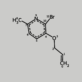 C=CCOc1ccc(C)nc1Br